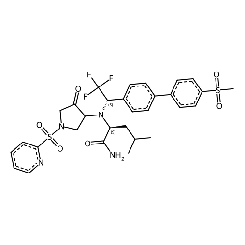 CC(C)C[C@@H](C(N)=O)N(C1CN(S(=O)(=O)c2ccccn2)CC1=O)[C@@H](c1ccc(-c2ccc(S(C)(=O)=O)cc2)cc1)C(F)(F)F